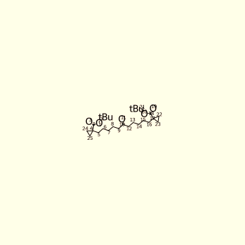 CC(C)(C)OC(=O)C1(CCCCCC(=O)CCCCCC2(C(=O)OC(C)(C)C)CC2)CC1